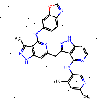 Cc1cc(C)c(Nc2nccc3[nH]nc(Cc4cc5[nH]nc(C)c5c(Nc5ccc6ncoc6c5)n4)c23)cn1